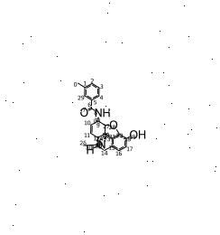 Cc1cccc(C(=O)N[C@@H]2C=CC3[C@H]4Cc5ccc(O)c6c5[C@@]3(CCN4C)C2O6)c1